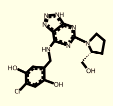 OC[C@H]1CCCN1c1nc(NCc2cc(O)c(Cl)cc2O)c2nn[nH]c2n1